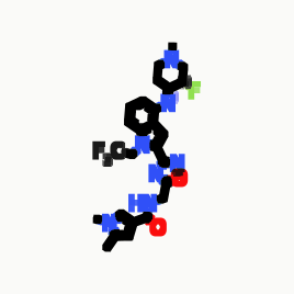 Cc1cc(C(=O)NCc2nc(-c3cc4c(/N=C5\CCN(C)C[C@@H]5F)cccc4n3CC(F)(F)F)no2)cn1C